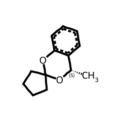 C[C@@H]1OC2(CCCC2)Oc2ccccc21